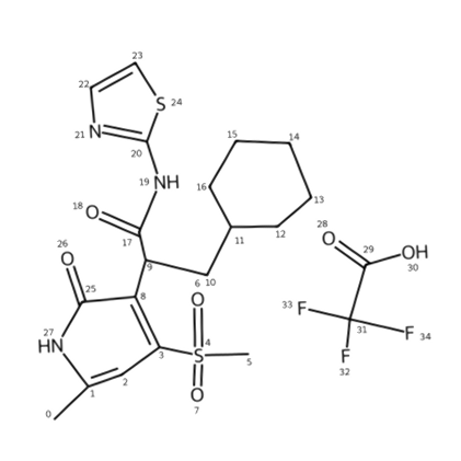 Cc1cc(S(C)(=O)=O)c(C(CC2CCCCC2)C(=O)Nc2nccs2)c(=O)[nH]1.O=C(O)C(F)(F)F